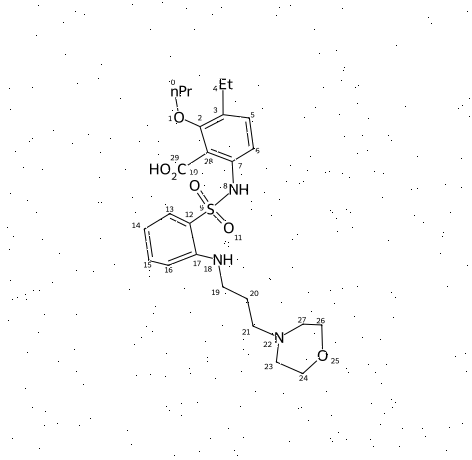 CCCOc1c(CC)ccc(NS(=O)(=O)c2ccccc2NCCCN2CCOCC2)c1C(=O)O